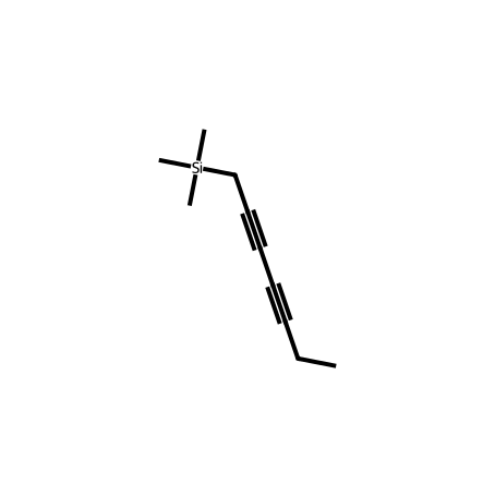 CCC#CC#CC[Si](C)(C)C